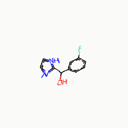 OC(c1cccc(F)c1)c1ncc[nH]1